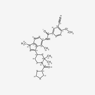 COc1ccc(C(=O)Nc2cnc3c(c(C4CCN(C(=O)C5CCCC5)C(C)(C)C4)cn3C)c2C)cc1C#N